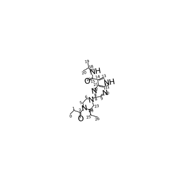 CCC(=O)N1CCN(c2cnc3[nH]cc(C(=O)NC(C)C)c3n2)C[C@H]1CC